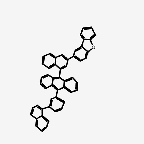 c1cc(-c2cccc3ccccc23)cc(-c2c3ccccc3c(-c3cc(-c4ccc5oc6ccccc6c5c4)cc4ccccc34)c3ccccc23)c1